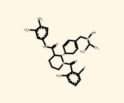 CCCN(CC1=CCC([C@H]2C(C(=O)Nc3ccc(C)c(C)c3)CCCN2C(=O)c2c(C)cccc2F)C=C1)C(C)C(F)(F)F